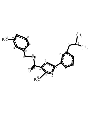 CN(C)Cc1cccc(-c2nc(C(F)(F)F)c(C(=O)NCc3cccc(C(F)(F)F)c3)s2)c1